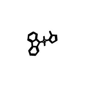 CC1=C([Si](C)(C)C2c3ccccc3-c3ccccc32)CC=C1